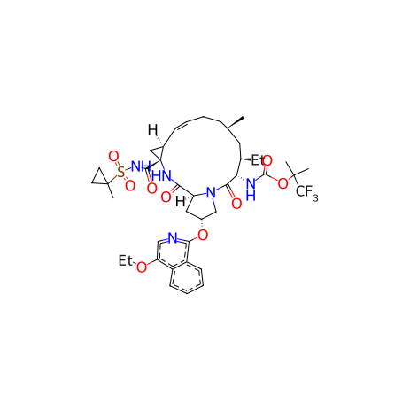 CCOc1cnc(O[C@@H]2C[C@H]3C(=O)N[C@]4(C(=O)NS(=O)(=O)C5(C)CC5)C[C@H]4C=CCC[C@@H](C)C[C@@H](CC)[C@H](NC(=O)OC(C)(C)C(F)(F)F)C(=O)N3C2)c2ccccc12